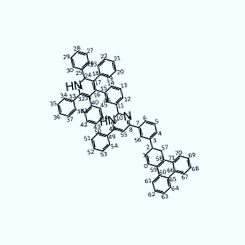 C1=CC(c2cccc(C3=NC(c4cccc(C5=C(c6ccccc6)C(c6ccccc6)NC(c6ccccc6)=C5c5ccccc5)c4)NC(c4ccccc4)=C3)c2)Cc2c1c1ccccc1c1ccccc21